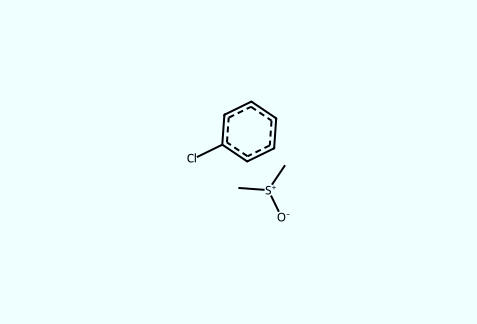 C[S+](C)[O-].Clc1ccccc1